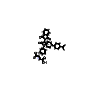 CC(C)[C@H]1CC[C@@H](N2CCC3(CC2)C(N2C(=O)c4ccccc4C2=O)C(=O)N3c2ccccc2)CC1.O=C(O)/C=C/C(=O)O